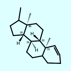 CC1CC[C@H]2[C@@H]3CCC4CCC=C[C@]4(C)[C@H]3CC[C@]12C